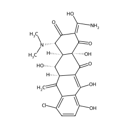 C=C1c2c(Cl)ccc(O)c2C(O)=C2C(=O)[C@]3(O)C(=O)/C(=C(\N)O)C(=O)[C@@H](N(C)C)[C@@H]3[C@@H](O)[C@H]12